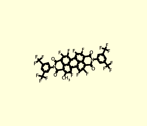 Cc1c2c3c(c(F)c(F)c4c5c(F)c(F)c6c7c(c(F)c(F)c(c(c1F)c34)c75)C(=O)N(c1cc(C(F)(F)F)cc(C(F)(F)F)c1)C6=O)C(=O)N(c1cc(C(F)(F)F)cc(C(F)(F)F)c1)C2=O